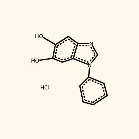 Cl.Oc1cc2ncn(-c3ccccc3)c2cc1O